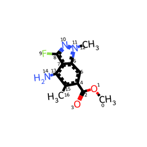 COC(=O)c1cc2c(c(F)nn2C)c(N)c1C